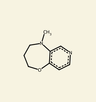 CN1CCCOc2ccncc21